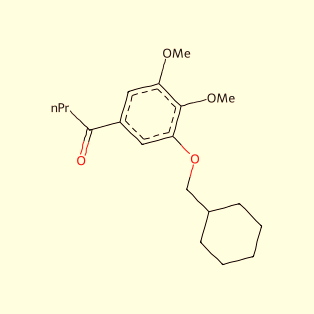 CCCC(=O)c1cc(OC)c(OC)c(OCC2CCCCC2)c1